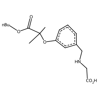 CCCCOC(=O)C(C)(C)Oc1cccc(CNCC(=O)O)c1